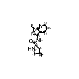 Cn1nc(NC(=O)[C@@H]2C[C@@H](F)CN2)c2cccnc21